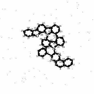 c1ccc(-c2nc3ccc4ccccc4c3nc2-n2c3cccc4c5cccc6c7ccc8c9ccccc9oc8c7n(c7cccc2c7c43)c56)cc1